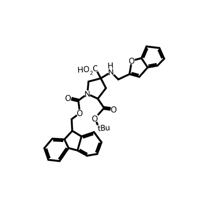 CC(C)(C)OC(=O)C1CC(NCc2cc3ccccc3o2)(C(=O)O)CN1C(=O)OCC1c2ccccc2-c2ccccc21